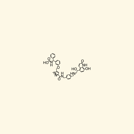 Cn1nc(C(=O)NCc2ccc(CNCC(O)c3ccc(O)c4[nH]c(=O)ccc34)cc2)cc1COc1cccc([C@@H](NC(=O)O)c2ccccc2)c1